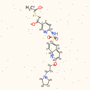 CC(=O)SCC(=O)c1ccc(NS(=O)(=O)c2ccc3nc(OCCCN4CCCC4)ccc3c2)nc1